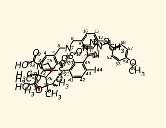 COc1ccc(CN(Cc2ccc(OC)cc2)S(=O)(=O)c2c(S(=O)(=O)C3CN(C(=O)O)C(C)(C(=O)O)C3C(C)(C)C)ccc(I)c2-c2nnn(Cc3ccc(OC)cc3)n2)cc1